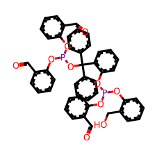 O=Cc1ccccc1OP(Oc1ccccc1CO)Oc1ccccc1C(OP(Oc1ccccc1C=O)Oc1ccccc1C=O)(c1ccccc1)c1ccccc1